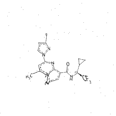 Cc1cc(-n2ccc(F)n2)nc2c(C(=O)N[C@@H](C3CC3)C(F)(F)F)cnn12